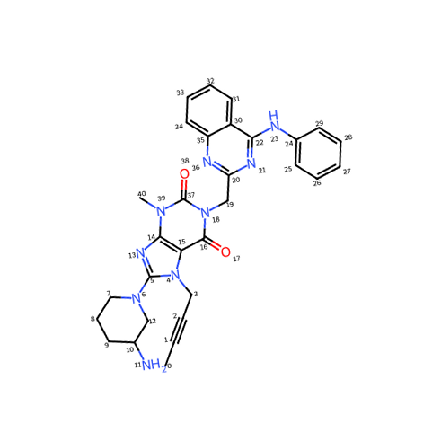 CC#CCn1c(N2CCCC(N)C2)nc2c1c(=O)n(Cc1nc(Nc3ccccc3)c3ccccc3n1)c(=O)n2C